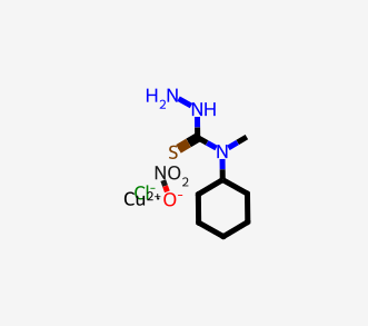 CN(C(=S)NN)C1CCCCC1.O=[N+]([O-])[O-].[Cl-].[Cu+2]